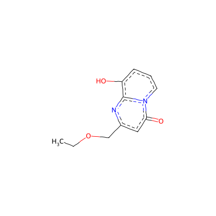 CCOCc1cc(=O)n2cccc(O)c2n1